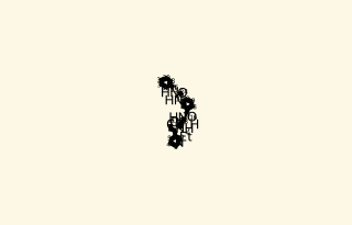 CCc1ncccc1C(CC(=O)O)NC(=O)CNC(=O)c1cccc(NC(=O)NCc2ccccc2)c1